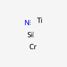 [Cr].[N].[Si].[Ti]